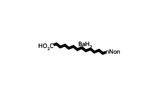 CCCCCCCCCCCCCCCCCCCCCC(=O)O.[BaH2]